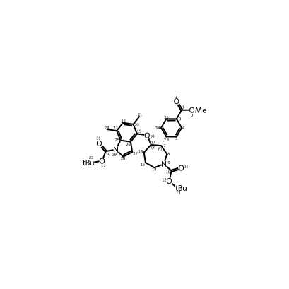 COC(=O)c1ccc([C@@H]2CN(C(=O)OC(C)(C)C)CCC[C@H]2Oc2c(C)cc(C)c3c2ccn3C(=O)OC(C)(C)C)cc1